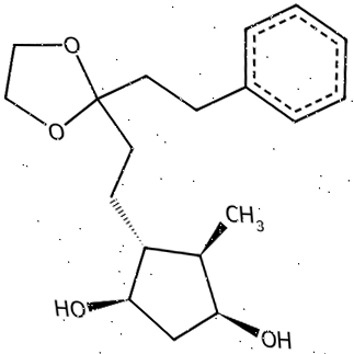 C[C@@H]1[C@@H](CCC2(CCc3ccccc3)OCCO2)[C@H](O)C[C@@H]1O